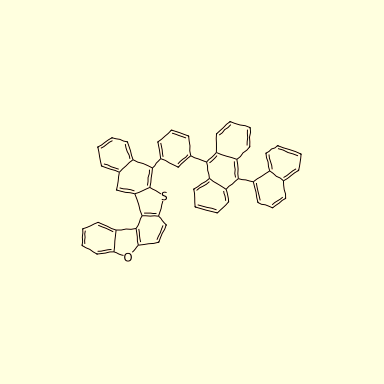 c1cc(-c2c3ccccc3c(-c3cccc4ccccc34)c3ccccc23)cc(-c2c3ccccc3cc3c2sc2ccc4oc5ccccc5c4c23)c1